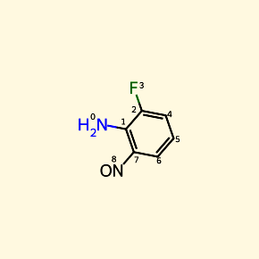 Nc1c(F)cccc1N=O